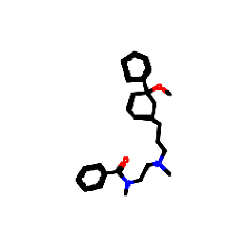 COC1(c2ccccc2)C=CC=C(CCCN(C)CCN(C)C(=O)c2ccccc2)C1